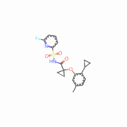 Cc1ccc(C2CC2)c(OC2(C(=O)NS(=O)(=O)c3cccc(F)n3)CC2)c1